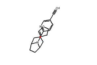 C#Cc1ccc(N2CC3CCC(C2)N3C2=COCC2)nc1